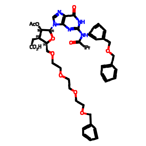 CC(=O)O[C@@H]1[C@H](CC(=O)O)[C@H](COCCOCCOCCOCc2ccccc2)O[C@H]1n1cnc2c(=O)[nH]c(NC(=O)C(C)C)nc21.c1ccc(COCc2ccccc2)cc1